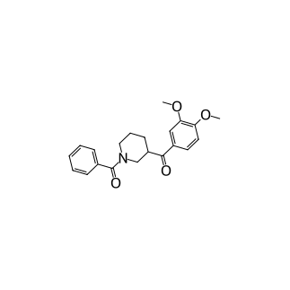 COc1ccc(C(=O)C2CCCN(C(=O)c3ccccc3)C2)cc1OC